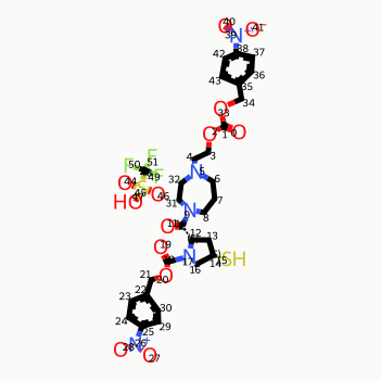 O=C(OCCN1CCCN(C(=O)[C@@H]2C[C@H](S)CN2C(=O)OCc2ccc([N+](=O)[O-])cc2)CC1)OCc1ccc([N+](=O)[O-])cc1.O=S(=O)(O)C(F)(F)F